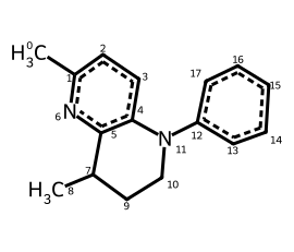 Cc1ccc2c(n1)C(C)CCN2c1ccccc1